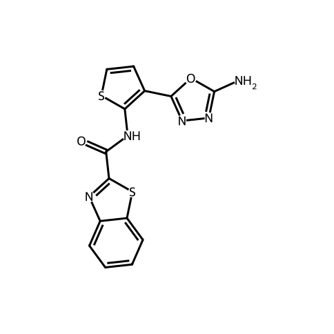 Nc1nnc(-c2ccsc2NC(=O)c2nc3ccccc3s2)o1